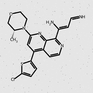 C[C@@H]1COCCN1c1cc(-c2ccc(Cl)s2)c2ccnc(/C(N)=C/C=N)c2n1